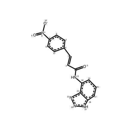 O=C(C=Cc1ccc([N+](=O)[O-])cc1)Nc1cccc2[nH]nnc12